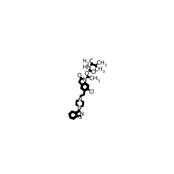 CC(C)C(C)NC(=O)OC(C)N1C(=O)Cc2cc(CCN3CCN(c4nsc5ccccc45)CC3)c(Cl)cc21